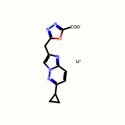 O=C([O-])c1nnc(Cc2cn3nc(C4CC4)ccc3n2)o1.[Li+]